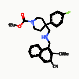 COc1c(C#N)cc2ccccc2c1CNCC1(c2ccc(F)cc2)CCN(C(=O)OC(C)(C)C)CC1